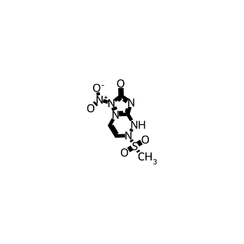 CS(=O)(=O)N1C=Cn2c(nc(=O)n2[N+](=O)[O-])N1